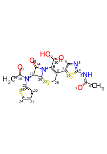 CC(=O)Nc1ncc(C2=C(C(=O)O)N3C(=O)C(N(C(C)=O)c4cccs4)C3SC2)s1